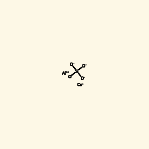 [Al+3].[Cs+].[O-][Si]([O-])([O-])[O-]